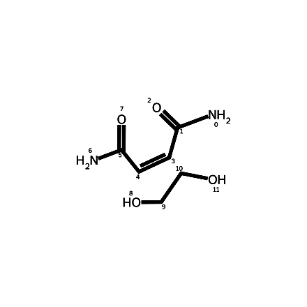 NC(=O)/C=C\C(N)=O.OCCO